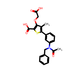 CC(=O)N(Cc1ccccc1)c1cccc(-c2sc(C(=O)O)c(OCC(=O)O)c2C)c1